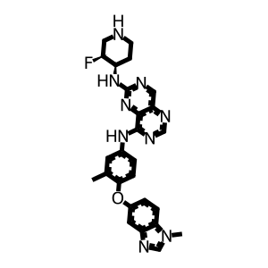 Cc1cc(Nc2ncnc3cnc(N[C@@H]4CCNC[C@@H]4F)nc23)ccc1Oc1ccc2c(c1)ncn2C